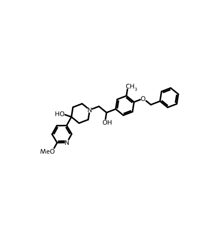 COc1ccc(C2(O)CCN(CC(O)c3ccc(OCc4ccccc4)c(C)c3)CC2)cn1